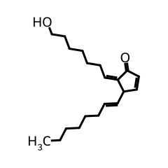 CCCCCCC=CC1C=CC(=O)C1=CCCCCCCO